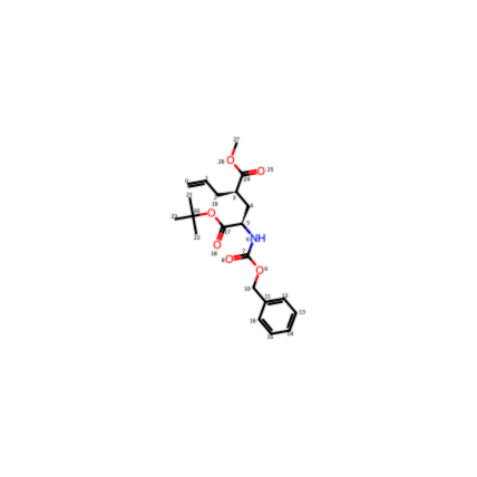 C=CC[C@H](C[C@@H](NC(=O)OCc1ccccc1)C(=O)OC(C)(C)C)C(=O)OC